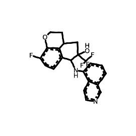 OC1(C(F)(F)F)CC2CCOc3c(F)ccc(c32)C1Nc1cccc2cnccc12